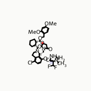 COc1ccc(COC(=O)[C@H]2CCCC[C@H]2C(=O)N2CCc3c(Cl)ccc(OC/C(N)=C(\C(F)F)N(C)N)c3[C@H]2CN2CCCC2=O)c(OC)c1